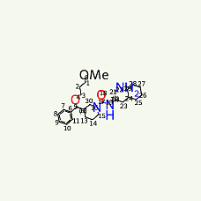 COCCCOC(c1ccccc1)[C@@H]1CCCN(C(=O)N[C@H](CN)CC2CCCCC2)C1